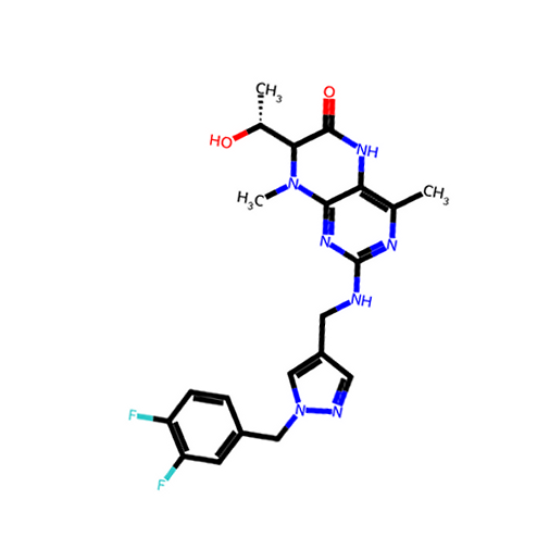 Cc1nc(NCc2cnn(Cc3ccc(F)c(F)c3)c2)nc2c1NC(=O)C([C@@H](C)O)N2C